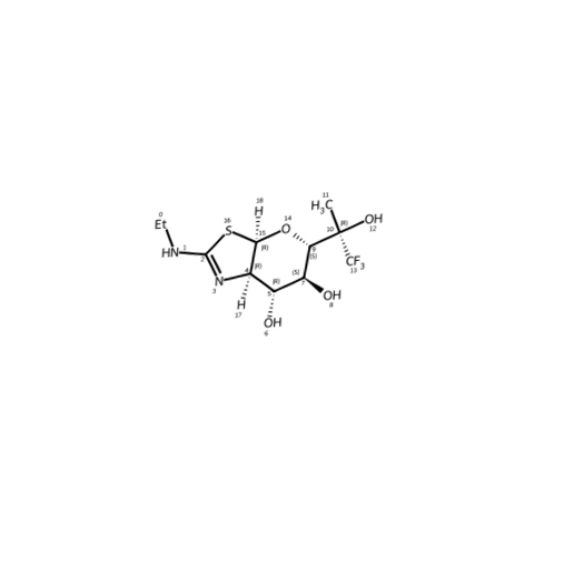 CCNC1=N[C@@H]2[C@@H](O)[C@H](O)[C@@H]([C@@](C)(O)C(F)(F)F)O[C@@H]2S1